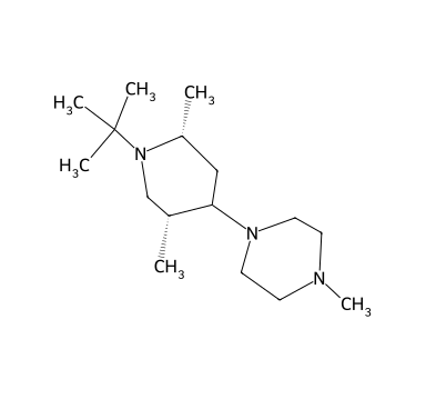 C[C@@H]1CN(C(C)(C)C)[C@H](C)CC1N1CCN(C)CC1